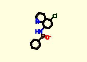 [O-][S+](Nc1ccc(Cl)c2cccnc12)c1ccccc1